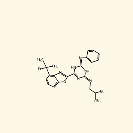 CCCCC(CC)CN=c1nc(-c2nc3c(C(C)(C)CC)cccc3o2)[nH]c(=Nc2ccccc2)[nH]1